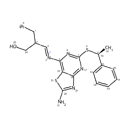 CC(C)CC(/C=N/c1nc(S[C@@H](C)c2ccccc2)nc2nc(N)sc12)CO